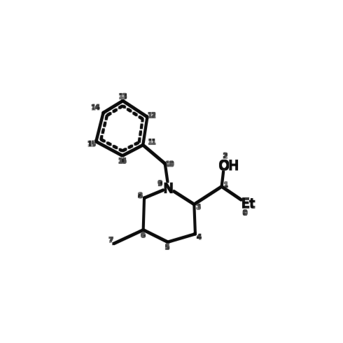 CCC(O)C1CCC(C)CN1Cc1ccccc1